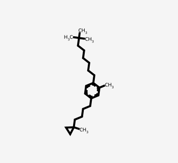 Cc1cc(CCCCC2(C)CC2)ccc1CCCCCCC(C)(C)C